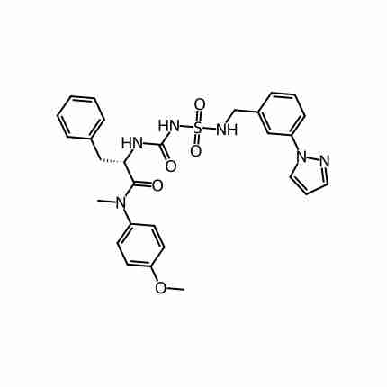 COc1ccc(N(C)C(=O)[C@H](Cc2ccccc2)NC(=O)NS(=O)(=O)NCc2cccc(-n3cccn3)c2)cc1